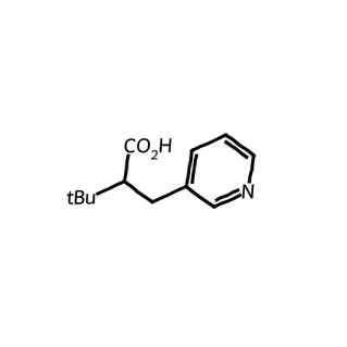 CC(C)(C)C(Cc1cccnc1)C(=O)O